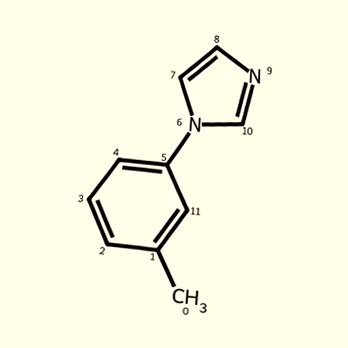 Cc1cccc(-n2ccnc2)c1